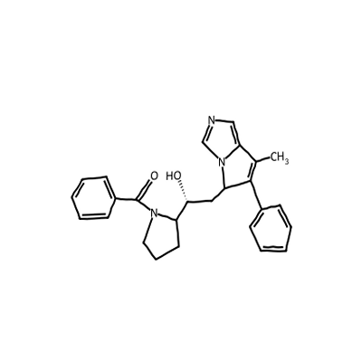 CC1=C(c2ccccc2)C(C[C@@H](O)C2CCCN2C(=O)c2ccccc2)n2cncc21